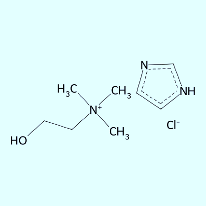 C[N+](C)(C)CCO.[Cl-].c1c[nH]cn1